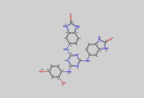 O=c1[nH]c2ccc(Nc3nc(Nc4ccc5[nH]c(=O)[nH]c5c4)nc(Nc4ccc(O)cc4O)n3)cc2[nH]1